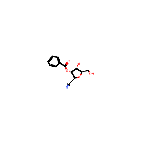 N#C[C@@H]1O[C@H](CO)[C@@H](O)[C@H]1OC(=O)c1ccccc1